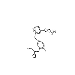 C=C/C(Cl)=C\c1cc(Cc2cc(C(=O)O)ccn2)ccc1C